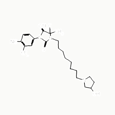 CC1(C)C(=O)N(c2ccc(C#N)c(C(F)(F)F)c2)C(=S)N1CCCCCCCCN1CCC(O)C1